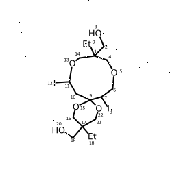 CCC1(CO)COCC(I)C2(CC(I)OC1)OCC(CC)(CO)CO2